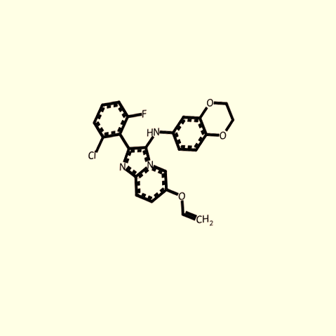 C=COc1ccc2nc(-c3c(F)cccc3Cl)c(Nc3ccc4c(c3)OCCO4)n2c1